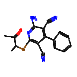 CC(=O)C(C)Sc1nc(N)c(C#N)c(-c2ccccc2)c1C#N